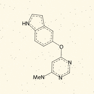 CNc1cc(Oc2ccc3[nH]ccc3c2)ncn1